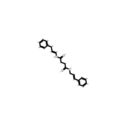 O=C(CCC(=O)OC/C=C/c1ccccc1)OC=CCc1ccccc1